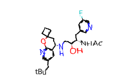 CC(=O)N[C@@H](Cc1cncc(F)c1)[C@H](O)CN[C@H]1CC2(CCC2)Oc2ncc(CC(C)(C)C)cc21